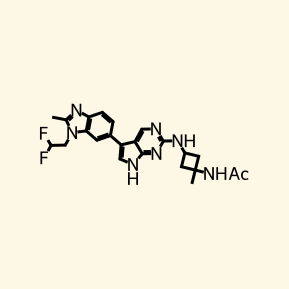 CC(=O)NC1(C)CC(Nc2ncc3c(-c4ccc5nc(C)n(CC(F)F)c5c4)c[nH]c3n2)C1